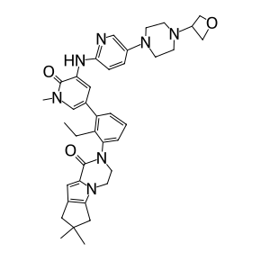 CCc1c(-c2cc(Nc3ccc(N4CCN(C5COC5)CC4)cn3)c(=O)n(C)c2)cccc1N1CCn2c(cc3c2CC(C)(C)C3)C1=O